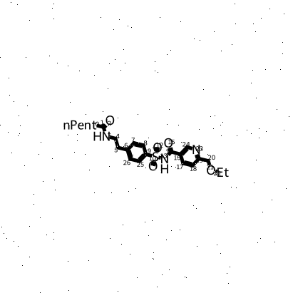 CCCCCC(=O)NCCc1ccc(S(=O)(=O)NC(=O)c2ccc(COCC)nc2)cc1